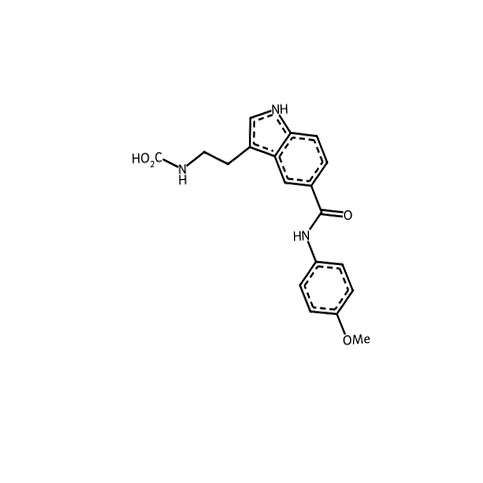 COc1ccc(NC(=O)c2ccc3[nH]cc(CCNC(=O)O)c3c2)cc1